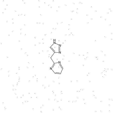 c1cnc(Cc2c[nH]nn2)nc1